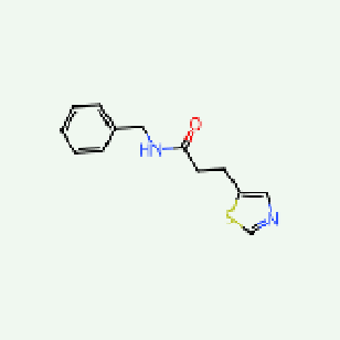 O=C(CCc1cncs1)NCc1ccccc1